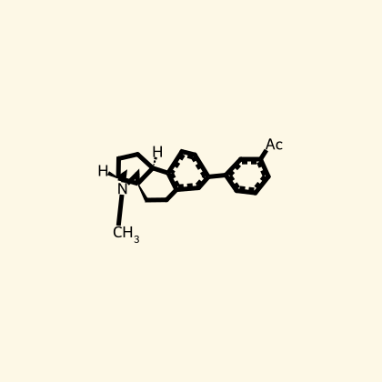 CC(=O)c1cccc(-c2ccc3c(c2)CC[C@]24CN(C)C[C@H]2CC[C@@H]34)c1